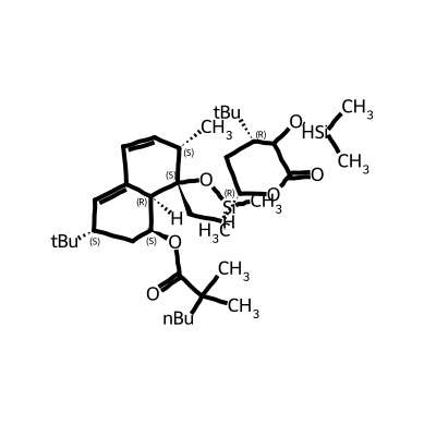 CCCCC(C)(C)C(=O)O[C@H]1C[C@H](C(C)(C)C)C=C2C=C[C@H](C)[C@](CC[C@@H]3C[C@H](C(C)(C)C)C(O[SiH](C)C)C(=O)O3)(O[SiH](C)C)[C@H]21